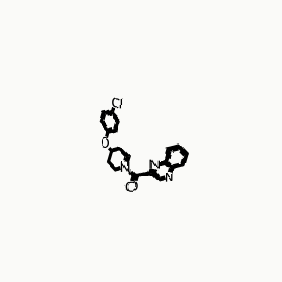 O=C(c1cnc2ccccc2n1)N1CCC(Oc2ccc(Cl)cc2)CC1